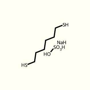 O=S(=O)(O)O.SCCCCCCS.[NaH]